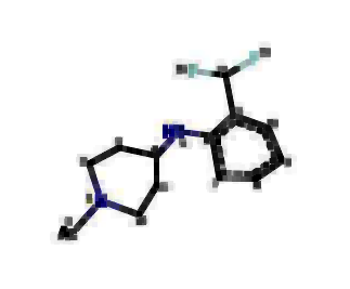 CC(=O)N1CCC(Nc2ccccc2C(F)F)CC1